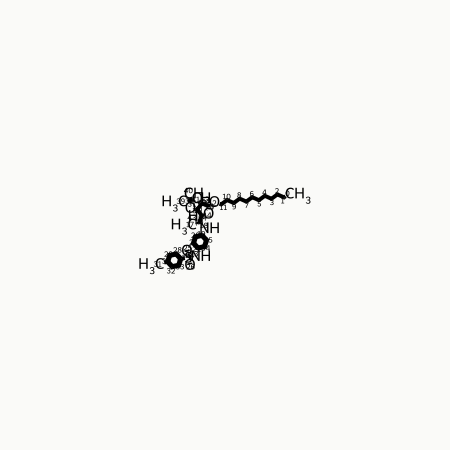 CCCCCCCCCCCCO[C@H]1O[C@H]([C@H](C)Nc2ccc(NS(=O)(=O)c3ccc(C)cc3)cc2)[C@@H]2OC(C)(C)O[C@H]12